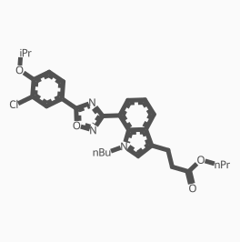 CCCCn1cc(CCC(=O)OCCC)c2cccc(-c3noc(-c4ccc(OC(C)C)c(Cl)c4)n3)c21